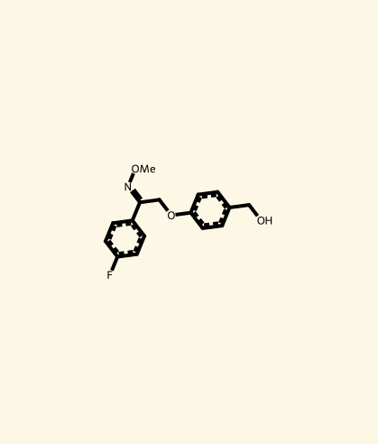 CO/N=C(\COc1ccc(CO)cc1)c1ccc(F)cc1